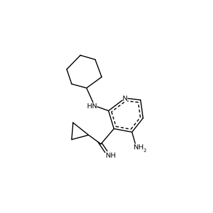 N=C(c1c(N)ccnc1NC1CCCCC1)C1CC1